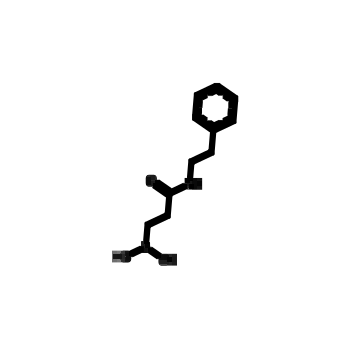 O=C(CCB(O)O)NCCc1ccccc1